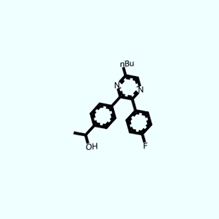 CCCCc1cnc(-c2ccc(F)cc2)c(-c2ccc(C(C)O)cc2)n1